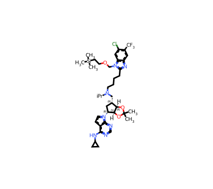 CC(C)N(CCCCc1nc2cc(C(F)(F)F)c(Cl)cc2n1COCC[Si](C)(C)C)C[C@H]1C[C@@H](n2ccc3c(NC4CC4)ncnc32)[C@@H]2OC(C)(C)O[C@H]12